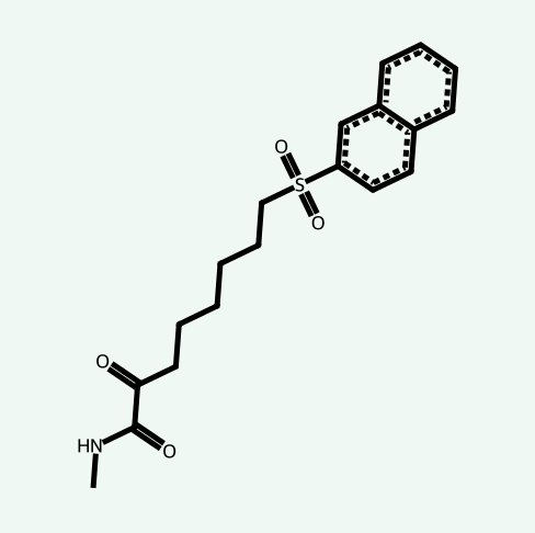 CNC(=O)C(=O)CCCCCCS(=O)(=O)c1ccc2ccccc2c1